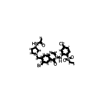 CCS(=O)(=O)c1ccc(Cl)cc1Nn1cnc2cc(CN3CC[C@@H](NC(C)=O)C3)c(Br)cc2c1=O